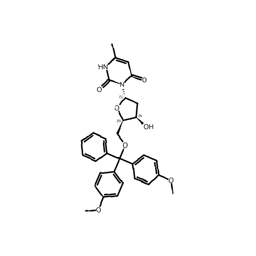 COc1ccc(C(OC[C@H]2O[C@H](n3c(=O)cc(C)[nH]c3=O)C[C@H]2O)(c2ccccc2)c2ccc(OC)cc2)cc1